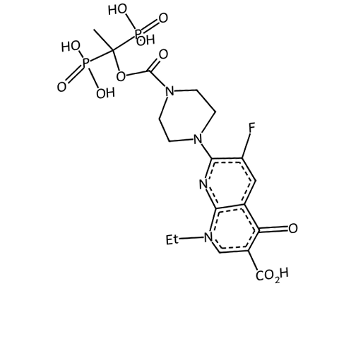 CCn1cc(C(=O)O)c(=O)c2cc(F)c(N3CCN(C(=O)OC(C)(P(=O)(O)O)P(=O)(O)O)CC3)nc21